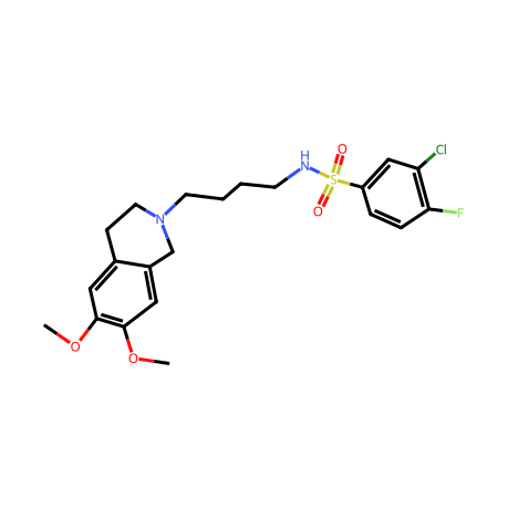 COc1cc2c(cc1OC)CN(CCCCNS(=O)(=O)c1ccc(F)c(Cl)c1)CC2